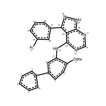 COc1ccc(-c2ccccc2)cc1Nc1ncnc2[nH]nc(-c3cccc(C(C)=O)c3)c12